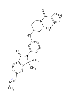 C/N=C/c1ccc2c(c1)C(C)(C)N(c1cncc(NC3CCN(C(=O)c4cncn4C)CC3)c1)C2=O